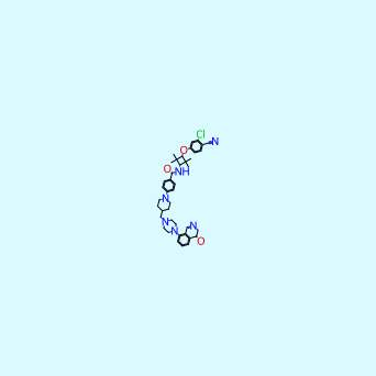 CC1(C)[C@H](NC(=O)c2ccc(N3CCC(CN4CCN(c5cccc6c5C=NCC6=O)CC4)CC3)cc2)C(C)(C)[C@H]1Oc1ccc(C#N)c(Cl)c1